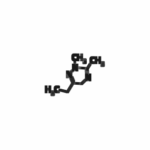 CCC1=NN(C)C(C)=NC1